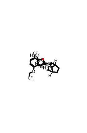 Cc1nnc(N2C[C@H]3CC[C@@H](C2)[C@]3(C)Nc2nc3c(OCC(F)(F)F)ccc(C(F)(F)F)n3n2)o1